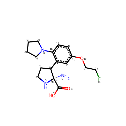 N[C@]1(C(=O)O)NCCC1c1cc(OCCF)ccc1N1CCCC1